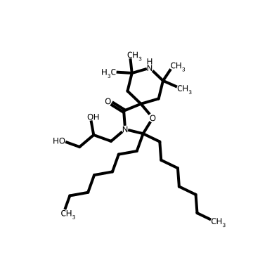 CCCCCCCC1(CCCCCCC)OC2(CC(C)(C)NC(C)(C)C2)C(=O)N1CC(O)CO